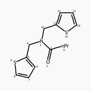 CCCC(=O)N(Cc1cccs1)Cc1cccs1